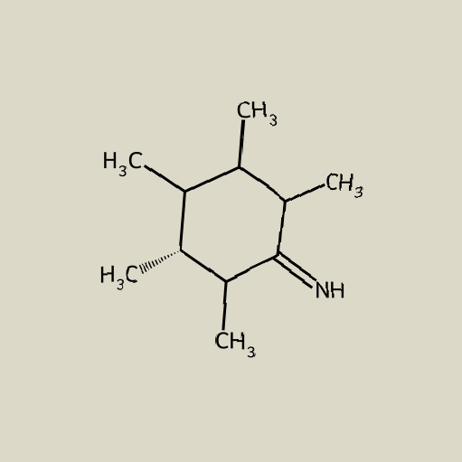 CC1C(=N)C(C)[C@H](C)C(C)C1C